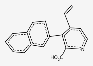 C=Cc1ccnc(C(=O)O)c1-c1ccc2ccccc2c1